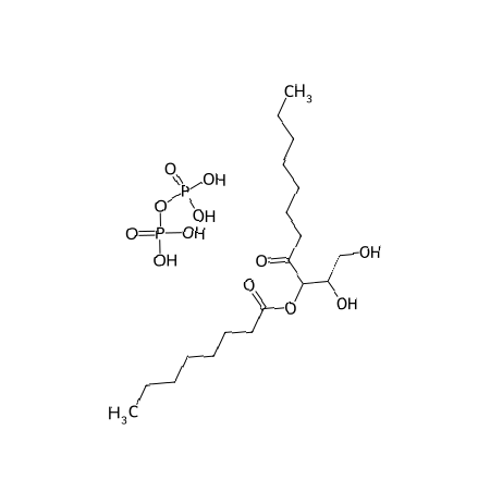 CCCCCCCC(=O)OC(C(=O)CCCCCCC)C(O)CO.O=P(O)(O)OP(=O)(O)O